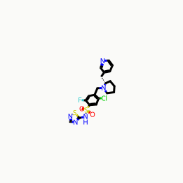 O=S(=O)(Nc1ncns1)c1cc(Cl)c(CN2CCCC[C@H]2Cc2cccnc2)cc1F